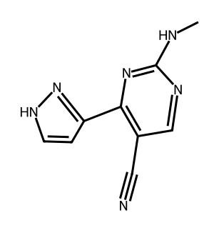 CNc1ncc(C#N)c(-c2cc[nH]n2)n1